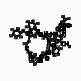 C=C[C@@H]1C[C@]1(NC(=O)[C@@H]1C[C@@H]2CN1C(=O)[C@H](C1CCCC1)NC(=O)O[C@@H]1CCC[C@H]1CCCC=CCc1c(nc3ccccc3c1OCc1ccccc1)O2)C(=O)NS(=O)(=O)C1CC1